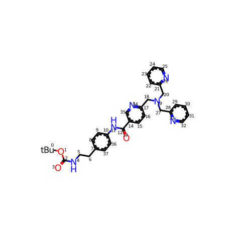 CC(C)(C)OC(=O)NCCc1ccc(NC(=O)c2ccc(CN(Cc3ccccn3)Cc3ccccn3)nc2)cc1